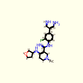 CC(=O)N1CCC(NC2CCOC2)=C(C(=N)Nc2ccc(/C(C=N)=C/N)cc2F)C1